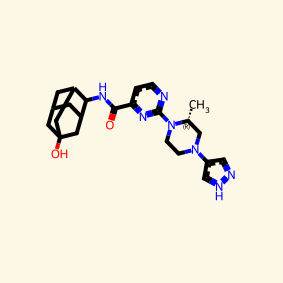 C[C@@H]1CN(c2cn[nH]c2)CCN1c1nccc(C(=O)NC2C3CC4CC2CC(O)(C4)C3)n1